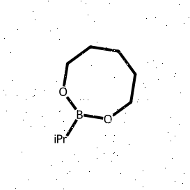 CC(C)B1OCCCCCO1